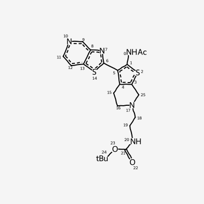 CC(=O)Nc1sc2c(c1-c1nc3cnccc3s1)CCN(CCNC(=O)OC(C)(C)C)C2